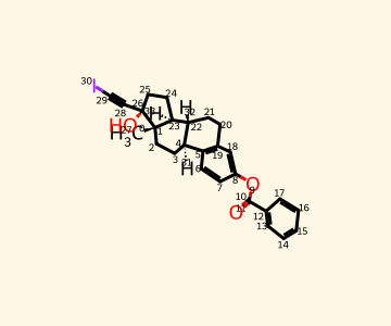 C[C@]12CC[C@@H]3c4ccc(OC(=O)c5ccccc5)cc4CC[C@H]3[C@@H]1CC[C@@]2(O)C#CI